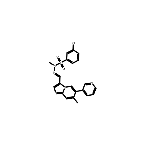 Cc1cc2ncc(C=NN(C)S(=O)(=O)c3cccc(Cl)c3)n2cc1-c1cccnc1